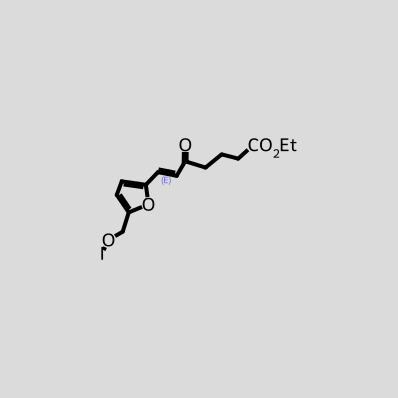 CCOC(=O)CCCC(=O)/C=C/c1ccc(COI)o1